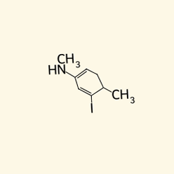 CNC1=CCC(C)C(I)=C1